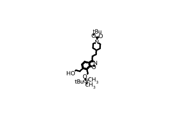 CC(C)(C)OC(=O)N1CCC(CCc2noc3c(CO[Si](C)(C)C(C)(C)C)c(CCO)ccc23)CC1